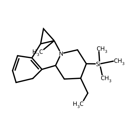 CCC1CC2C3=C(C=CCC3)C3CC3(C)N2CC1[Si](C)(C)C